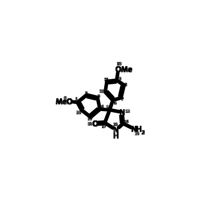 COc1ccc(C2(c3ccc(OC)cc3)N=C(N)NC2=O)cc1